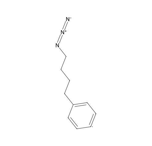 [N-]=[N+]=NCCCCc1cc[c]cc1